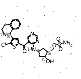 NS(=O)(=O)OC[C@H]1C[C@@H](Nc2ncncc2C(=O)c2cc([C@H]3NCCc4ccccc43)c(Cl)s2)C[C@@H]1O